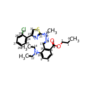 CCCOC(=O)c1cccc(N(CC)CC)c1/C=N/N(C)c1nc(-c2ccccc2Cl)cs1